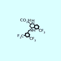 O=C(O)C[C@@H]1CC(NCc2cc(C(F)(F)F)cc(C(F)(F)F)c2)c2cc(C(F)(F)F)ccc2N1